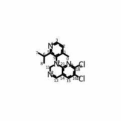 Cc1ccnc(C(C)C)c1N1CN=Cc2cc(Cl)c(Cl)nc21